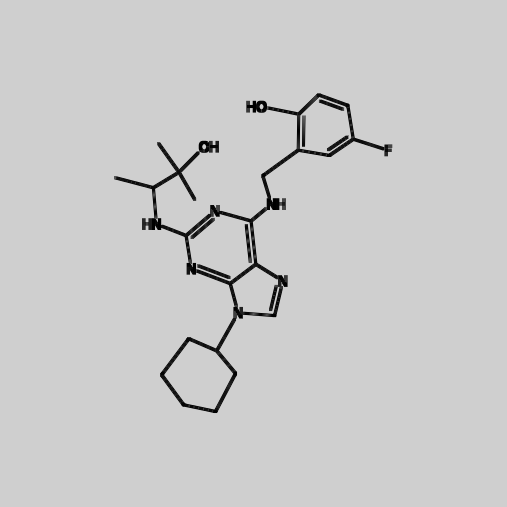 CC(Nc1nc(NCc2cc(F)ccc2O)c2ncn(C3CCCCC3)c2n1)C(C)(C)O